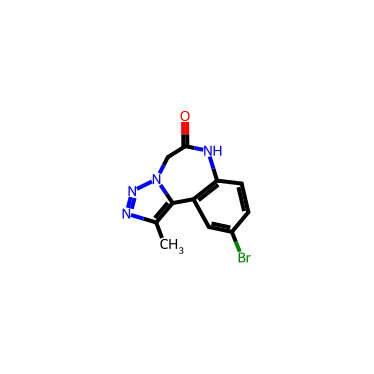 Cc1nnn2c1-c1cc(Br)ccc1NC(=O)C2